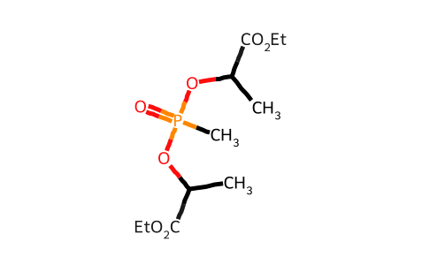 CCOC(=O)C(C)OP(C)(=O)OC(C)C(=O)OCC